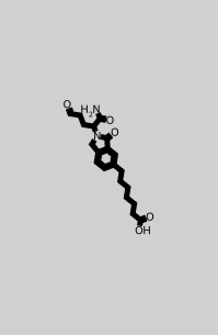 NC(=O)C(CCC=O)N1Cc2ccc(CCCCCCC(=O)O)cc2C1=O